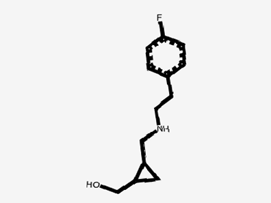 OCC1CC1CNCCc1ccc(F)cc1